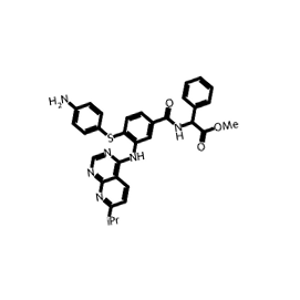 COC(=O)C(NC(=O)c1ccc(Sc2ccc(N)cc2)c(Nc2ncnc3nc(C(C)C)ccc23)c1)c1ccccc1